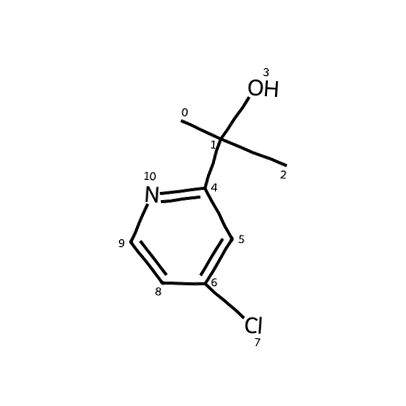 CC(C)(O)c1cc(Cl)ccn1